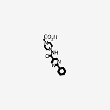 O=C(O)CN1CCN(NC(=O)c2cnc(-c3ccccc3)nc2)CC1